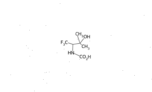 CC(C)(O)C(NC(=O)O)C(F)(F)F